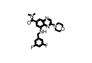 CN(C)C(=O)c1cc(NCc2cc(F)cc(F)c2)c2nc(N3CCOCC3)cnc2c1